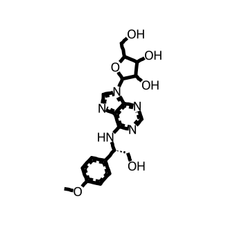 COc1ccc([C@@H](CO)Nc2ncnc3c2ncn3C2OC(CO)C(O)C2O)cc1